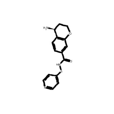 N[C@H]1CCOc2cc(C(=O)NSc3ccncc3)ccc21